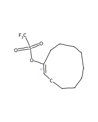 O=S(=O)(O/C1=C/CCCCCCCCC1)C(F)(F)F